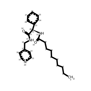 CCCCCCCCCC(=O)N[C@@H](C(=O)NCc1ccncc1)c1ccccc1